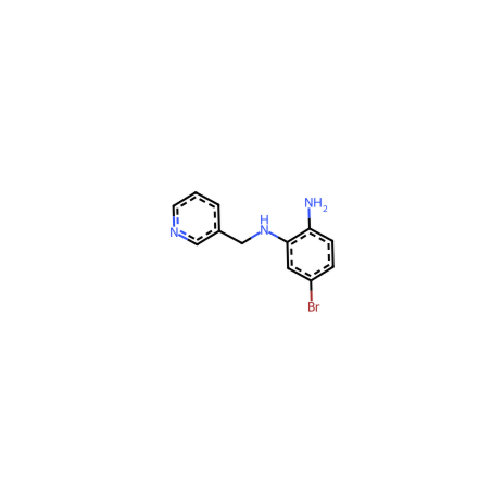 Nc1ccc(Br)cc1NCc1cccnc1